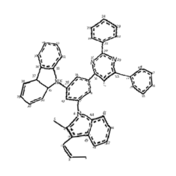 C/C=C\c1c(C)n(-c2cc(-c3cc(-c4ccccc4)nc(-c4ccccc4)n3)cc(N3c4ccccc4C4C=CC=CC43)c2)c2ccccc12